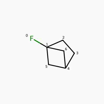 FC12CCC(C1)C2